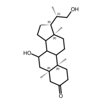 C[C@H](CO)[C@H]1CCC2C3C(O)C[C@]4(C)CC(=O)CC[C@]4(C)C3CC[C@@]21C